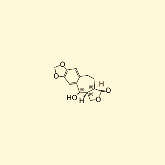 O=C1OC[C@H]2[C@H]1CCc1cc3c(cc1[C@@H]2O)OCO3